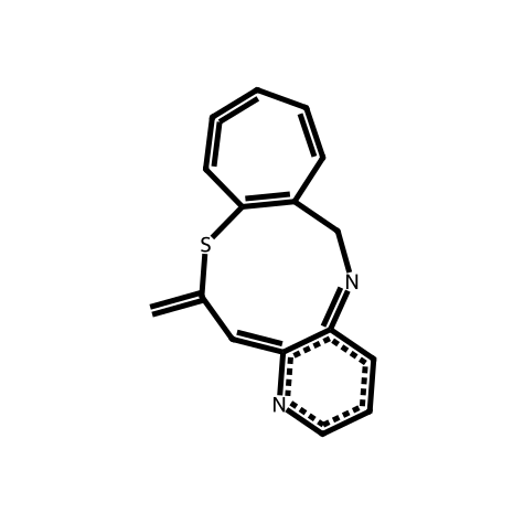 C=C1/C=c2/nccc/c2=N/CC2=C(C=C=CC=C2)S1